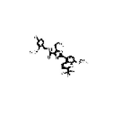 COc1ccc(-c2nc(C(=O)NCc3ccc(Cl)cc3SC)c(CN)o2)c2ccc(C(F)(F)F)nc12